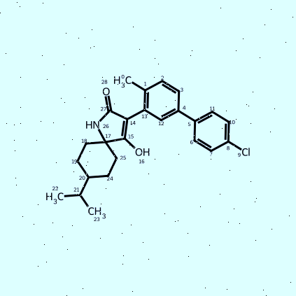 Cc1ccc(-c2ccc(Cl)cc2)cc1C1=C(O)C2(CCC(C(C)C)CC2)NC1=O